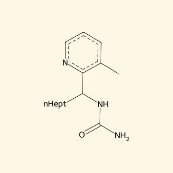 CCCCCCCC(NC(N)=O)c1ncccc1C